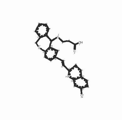 O=C(O)CCSC1c2ccccc2COc2ccc(C=Cc3ccc4ccc(Cl)cc4n3)cc21